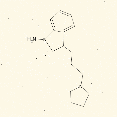 NN1CC(CCCN2CCCC2)c2ccccc21